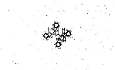 c1ccc2[nH]c(N(CCN(c3nc4ccccc4[nH]3)c3nc4ccccc4[nH]3)c3nc4ccccc4[nH]3)nc2c1